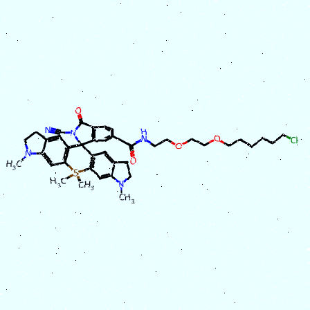 CN1CCc2cc3c(cc21)S(C)(C)c1cc2c(cc1C31c3cc(C(=O)NCCOCCOCCCCCCCl)ccc3C(=O)N1C#N)CCN2C